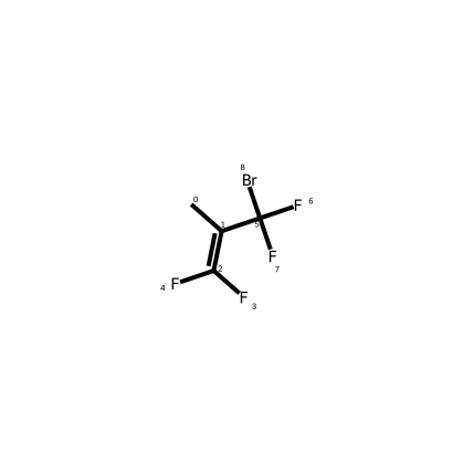 CC(=C(F)F)C(F)(F)Br